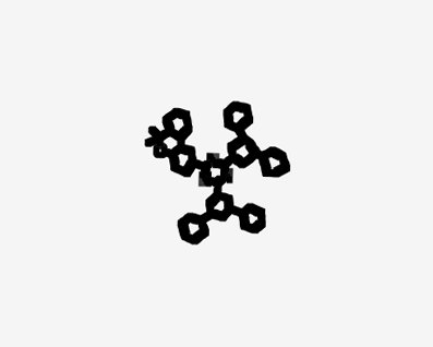 CC1(C)Oc2ccc(-c3nc(-c4cc(-c5ccccc5)cc(-c5ccccc5)c4)nc(-c4cc(-c5ccccc5)cc(-c5ccccc5)c4)n3)cc2-c2ccccc21